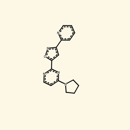 c1ccc(-c2cc(-c3nccc(N4CCCC4)n3)on2)nc1